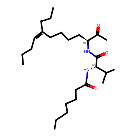 CCC/C=C(/CCC)CCCC[C@H](NC(=O)[C@@H](NC(=O)CCCCCC)C(C)C)C(C)=O